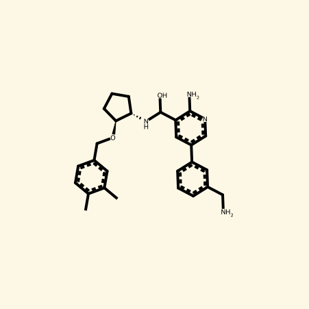 Cc1ccc(CO[C@H]2CCC[C@@H]2NC(O)c2cc(-c3cccc(CN)c3)cnc2N)cc1C